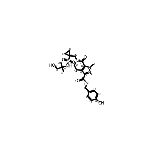 Cn1nc(C(=O)NCc2ccc(C#N)cc2)c2c1C(=O)N(CC1(S(=O)(=O)NC(C)(C)CO)CC1)CC2